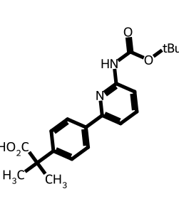 CC(C)(C)OC(=O)Nc1cccc(-c2ccc(C(C)(C)C(=O)O)cc2)n1